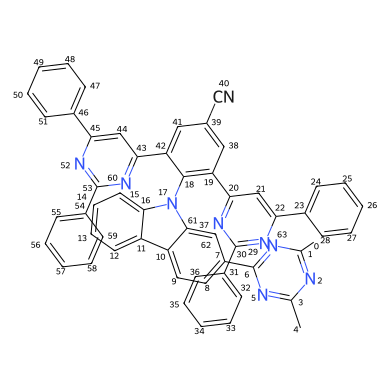 Cc1nc(C)nc(-c2ccc3c4ccccc4n(-c4c(-c5cc(-c6ccccc6)nc(-c6ccccc6)n5)cc(C#N)cc4-c4cc(-c5ccccc5)nc(-c5ccccc5)n4)c3c2)n1